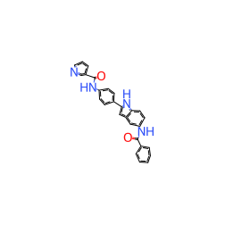 O=C(Nc1ccc2[nH]c(-c3ccc(NC(=O)c4cccnc4)cc3)cc2c1)c1ccccc1